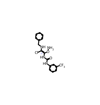 NO/C(NC(=O)Nc1cccc(C(F)(F)F)c1)=C(/Cl)NCc1ccccc1